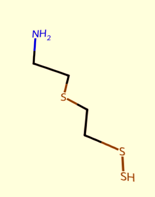 NCCSCCSS